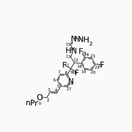 CCCOC/C=C/c1ccc(C(F)(F)C(CN/C=N\N)c2ccc(F)cc2F)nc1